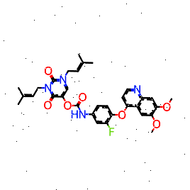 COc1cc2nccc(Oc3ccc(NC(=O)Oc4cn(CC=C(C)C)c(=O)n(CC=C(C)C)c4=O)cc3F)c2cc1OC